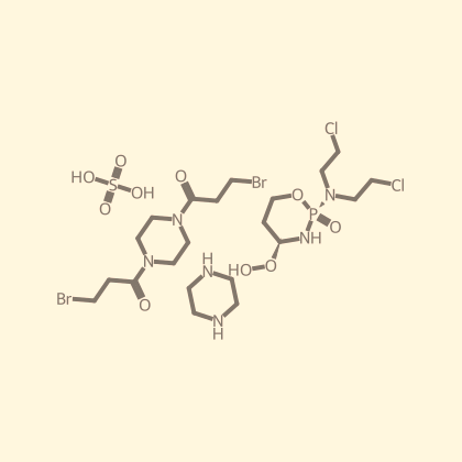 C1CNCCN1.O=C(CCBr)N1CCN(C(=O)CCBr)CC1.O=S(=O)(O)O.O=[P@@]1(N(CCCl)CCCl)N[C@@H](OO)CCO1